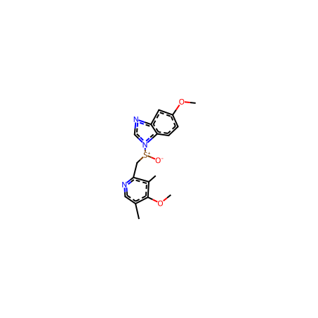 COc1ccc2c(c1)ncn2[S+]([O-])Cc1ncc(C)c(OC)c1C